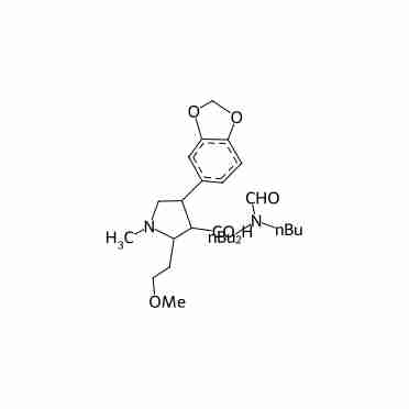 CCCCN(C=O)CCCC.COCCC1C(C(=O)O)C(c2ccc3c(c2)OCO3)CN1C